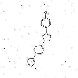 Cc1ccc(-c2ccc(-c3ccc(-c4cccs4)cc3)s2)cc1